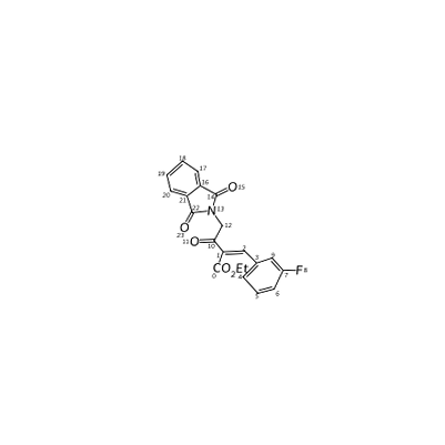 CCOC(=O)C(=Cc1cccc(F)c1)C(=O)CN1C(=O)c2ccccc2C1=O